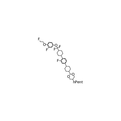 CCCCCC1COC(C2CCC(c3ccc(C4CCC(C(F)(F)Oc5ccc(OCCF)c(F)c5)CC4)c(F)c3)CC2)OC1